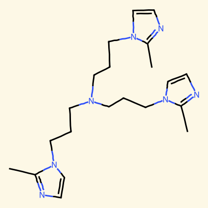 Cc1nccn1CCCN(CCCn1ccnc1C)CCCn1ccnc1C